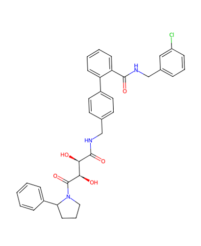 O=C(NCc1cccc(Cl)c1)c1ccccc1-c1ccc(CNC(=O)[C@H](O)[C@@H](O)C(=O)N2CCCC2c2ccccc2)cc1